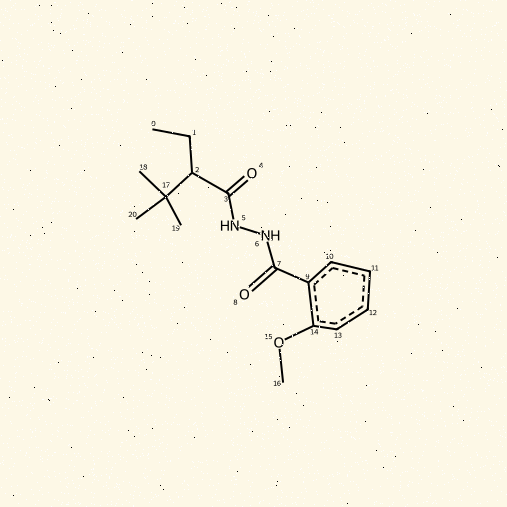 CCC(C(=O)NNC(=O)c1ccccc1OC)C(C)(C)C